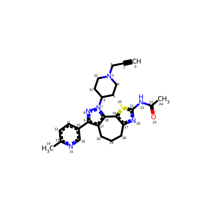 C#CCN1CCC(n2nc(-c3ccc(C)nc3)c3c2-c2sc(NC(C)=O)nc2CCC3)CC1